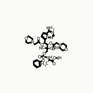 CO[C@](C#N)(COP(=O)(N[C@@H](C)C(=O)OC(C)C)Oc1ccccc1)[C@@H](OC(=O)CN1CCOCC1)[C@@H](OC(=O)CN1CCOCC1)c1ccc2c(N)ncnn12